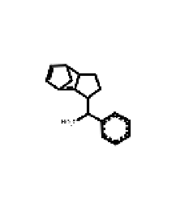 O=C(O)C(c1ccccc1)C1CCC2C1=C1C=CC2C1